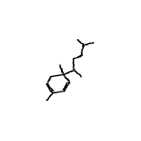 CC1=CCC(C)(N(C)CCN(C)C)C=C1